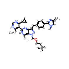 COc1ncnc(C2CC2)c1-c1nc(C(F)(F)F)c2c(n1)c(Cc1ccc(-c3nc(C(F)(F)F)cn3C)cc1)nn2COCC[Si](C)(C)C